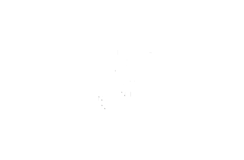 Cn1ncc2[nH]c(=O)c(Oc3ccc(F)cc3F)cc21